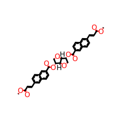 COC(=O)/C=C/c1ccc2cc(C(=O)O[C@H]3CO[C@H]4[C@@H]3OC[C@H]4OC(=O)c3ccc4cc(/C=C/C(=O)OC)ccc4c3)ccc2c1